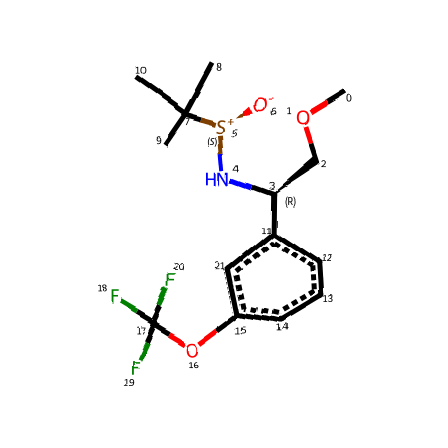 COC[C@H](N[S@+]([O-])C(C)(C)C)c1cccc(OC(F)(F)F)c1